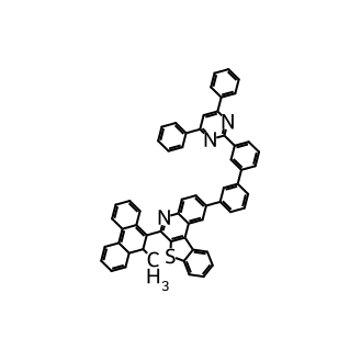 CC1C(c2nc3ccc(-c4cccc(-c5cccc(-c6nc(-c7ccccc7)cc(-c7ccccc7)n6)c5)c4)cc3c3c2sc2ccccc23)=c2ccccc2=C2C=CC=CC21